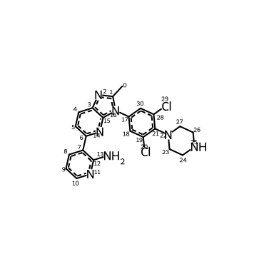 Cc1nc2ccc(-c3cccnc3N)nc2n1-c1cc(Cl)c(N2CCNCC2)c(Cl)c1